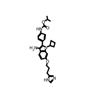 CC(C)OC(=O)Nc1ccc(-c2c(N)c3ccc(OCCCc4cnc[nH]4)cc3n2C2CCC2)cc1